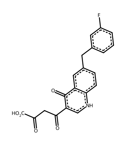 O=C(O)C(=O)CC(=O)c1c[nH]c2ccc(Cc3cccc(F)c3)cc2c1=O